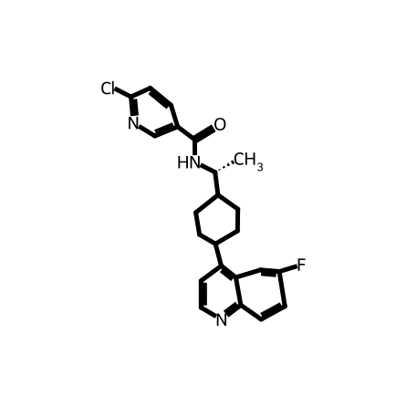 C[C@@H](NC(=O)c1ccc(Cl)nc1)C1CCC(c2ccnc3ccc(F)cc23)CC1